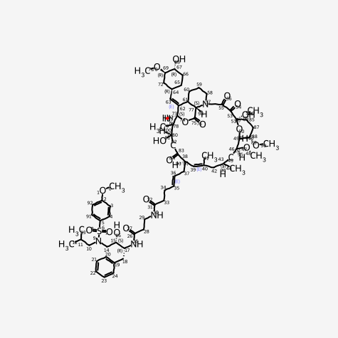 COc1ccc(S(=O)(=O)N(CC(C)C)C[C@H](O)[C@@H](Cc2ccccc2)NC(=O)CCNC(=O)CC/C=C/C[C@@H]2/C=C(\C)C[C@H](C)C[C@H](OC)[C@H]3O[C@@](O)(C(=O)C(=O)N4CCCC5/C(=C\[C@@H]6CC[C@@H](O)[C@H](OC)C6)[C@@H](OC(=O)[C@H]54)[C@H](C)[C@@H](O)CC2=O)[C@H](C)C[C@@H]3OC)cc1